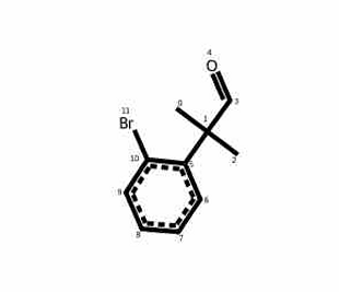 CC(C)(C=O)c1ccccc1Br